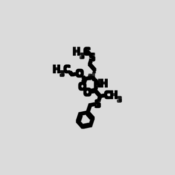 CCOC(=O)[C@H](CCSC)NC(=O)C(C)SCc1ccccc1